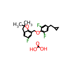 CC1(C)Cc2cc(F)cc(COc3c(F)cc(CC4CC4)cc3F)c2O1.O=C(O)O